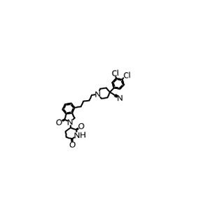 N#CC1(c2ccc(Cl)c(Cl)c2)CCN(CCCCc2cccc3c2CN(C2CCC(=O)NC2=O)C3=O)CC1